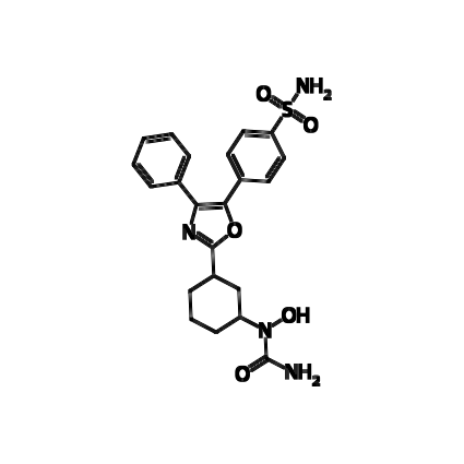 NC(=O)N(O)C1CCCC(c2nc(-c3ccccc3)c(-c3ccc(S(N)(=O)=O)cc3)o2)C1